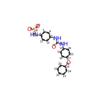 O=C(Nc1ccc(N[SH](=O)=O)cc1)Nc1ccc(Oc2ccccc2)cc1